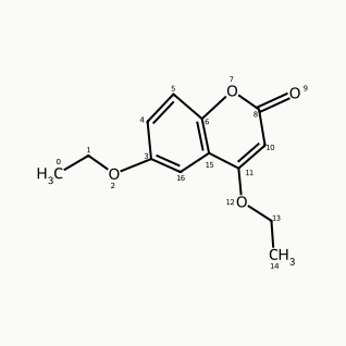 CCOc1ccc2oc(=O)cc(OCC)c2c1